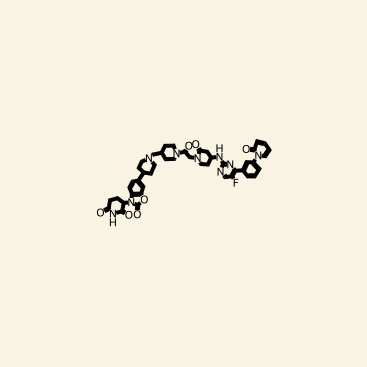 O=C1CCC(n2c(=O)oc3cc(C4CCN(CC5CCN(C(=O)CN6CCC(Nc7ncc(F)c(-c8cccc(-n9ccccc9=O)c8)n7)CC6=O)CC5)CC4)ccc32)C(=O)N1